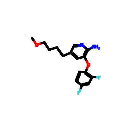 COCCCCc1cnc(N)c(Oc2ccc(F)cc2F)c1